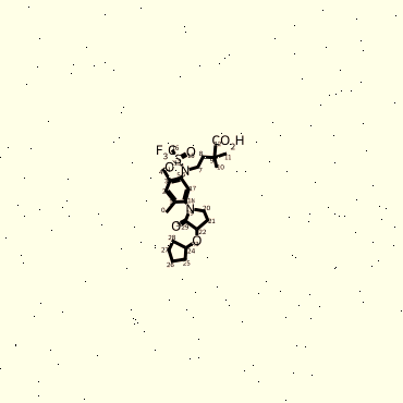 Cc1cc(C)c(N(CCC(C)(C)C(=O)O)S(=O)(=O)C(F)(F)F)cc1N1CCC(OC2CCCC2)C1=O